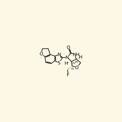 O=C1N[C@H]2CO[C@H](CF)[C@H]2N1c1nc2c3c(ccc2s1)OCC3